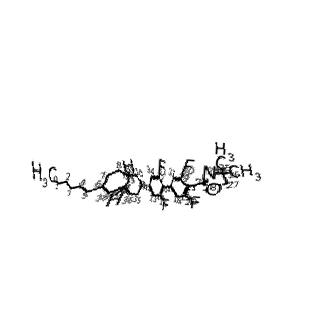 CCCCCCC1CC[C@@H]2C[C@H](c3cc(F)c(-c4cc(F)c(C5=NC(C)(C)CO5)c(F)c4)c(F)c3)CC[C@@H]2C1